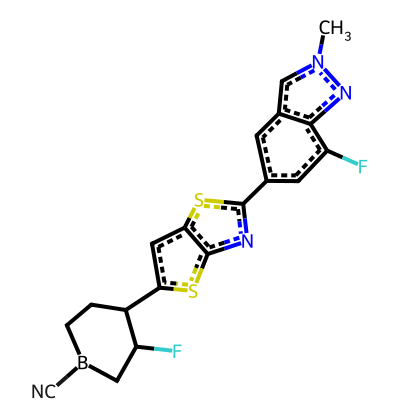 Cn1cc2cc(-c3nc4sc(C5CCB(C#N)CC5F)cc4s3)cc(F)c2n1